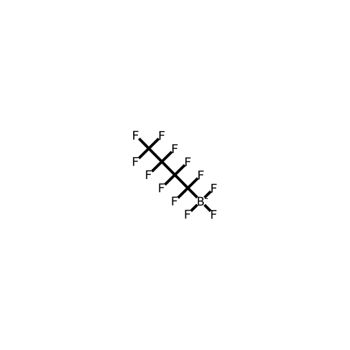 F[B-](F)(F)C(F)(F)C(F)(F)C(F)(F)C(F)(F)F